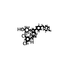 CN1CCN(Cc2ccc(-c3cn([C@H]4CC[C@H](O)CC4)c4nc(Nc5cc(Cl)cc(Cl)c5)ncc34)cc2)CC1